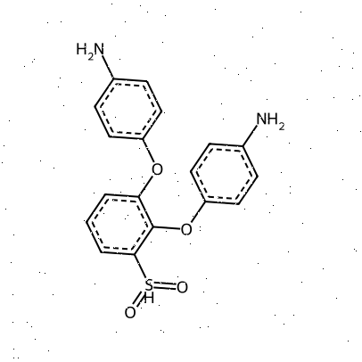 Nc1ccc(Oc2cccc([SH](=O)=O)c2Oc2ccc(N)cc2)cc1